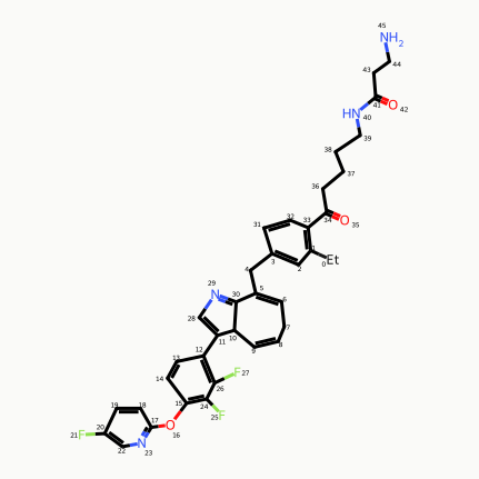 CCc1cc(CC2=CCC=CC3C(c4ccc(Oc5ccc(F)cn5)c(F)c4F)=CN=C23)ccc1C(=O)CCCCNC(=O)CCN